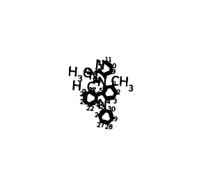 Cc1ccc2c(c1N1c3cccnc3N(C)[C@@H]1C)c1ccccc1n2-c1ccccc1